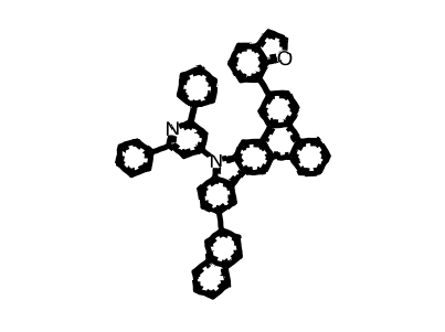 c1ccc(-c2cc(-n3c4ccc(-c5ccc6ccccc6c5)cc4c4cc5c6ccccc6c6ccc(-c7cccc8ccoc78)cc6c5cc43)cc(-c3ccccc3)n2)cc1